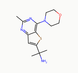 Cc1nc(N2CCOCC2)c2sc(C(C)(C)N)cc2n1